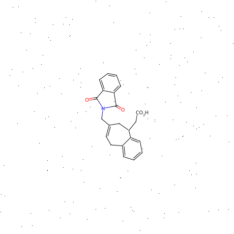 O=C(O)CC1CC(CN2C(=O)c3ccccc3C2=O)=CCc2ccccc21